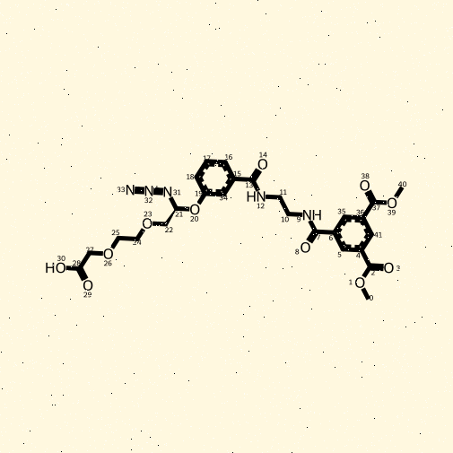 COC(=O)c1cc(C(=O)NCCNC(=O)c2cccc(O[C@@H](COCCOCC(=O)O)N=[N+]=[N-])c2)cc(C(=O)OC)c1